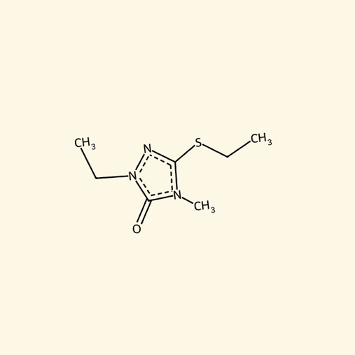 CCSc1nn(CC)c(=O)n1C